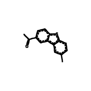 CC(=O)c1ccc2sc3ccc(C)cc3c2c1